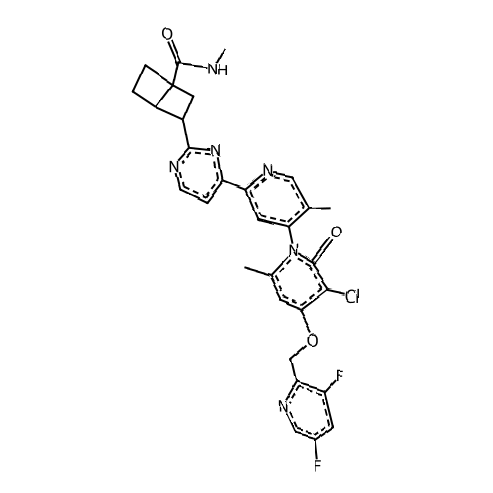 CNC(=O)C12CCC1C(c1nccc(-c3cc(-n4c(C)cc(OCc5ncc(F)cc5F)c(Cl)c4=O)c(C)cn3)n1)C2